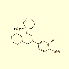 CCCc1ccc(C(CCC2(CCC)CCCCC2)CC2=CCCCC2)cc1F